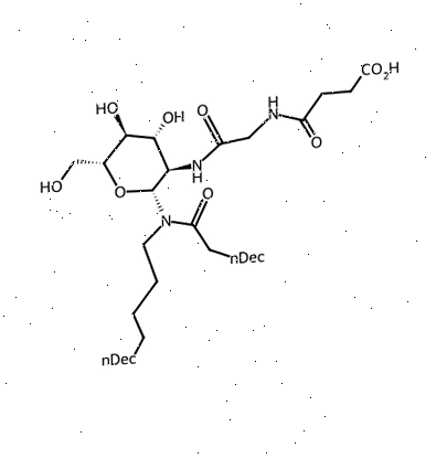 CCCCCCCCCCCCCCN(C(=O)CCCCCCCCCCC)[C@@H]1O[C@H](CO)[C@@H](O)[C@H](O)[C@H]1NC(=O)CNC(=O)CCC(=O)O